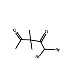 CC(=O)C(C)(C)C(=O)C(Br)Br